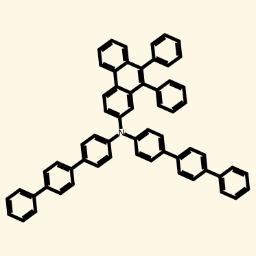 c1ccc(-c2ccc(-c3ccc(N(c4ccc(-c5ccc(-c6ccccc6)cc5)cc4)c4ccc5c(c4)c(-c4ccccc4)c(-c4ccccc4)c4ccccc45)cc3)cc2)cc1